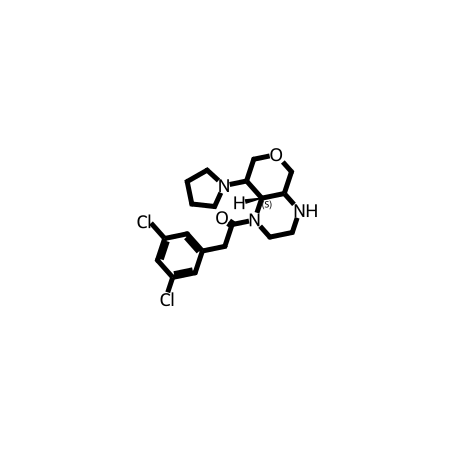 O=C(Cc1cc(Cl)cc(Cl)c1)N1CCNC2COCC(N3CCCC3)[C@H]21